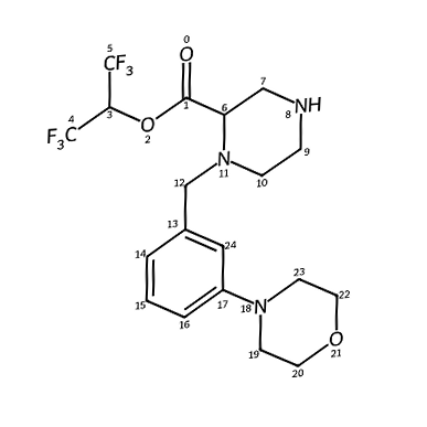 O=C(OC(C(F)(F)F)C(F)(F)F)C1CNCCN1Cc1cccc(N2CCOCC2)c1